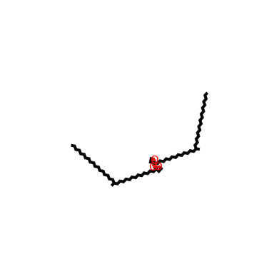 CCCCCCCCCCCCCCCCCCC(C)CCCCCCCCCCCCCC1(OC2(CCCCCCCCCCCCCC(C)CCCCCCCCCCCCCCCCCC)CCO2)CCO1